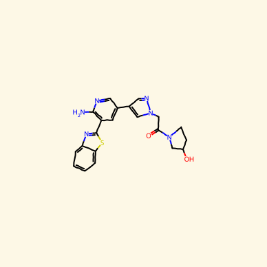 Nc1ncc(-c2cnn(CC(=O)N3CCC(O)C3)c2)cc1-c1nc2ccccc2s1